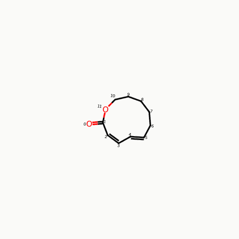 O=C1/C=C\C=C\CCCCCO1